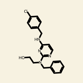 OCCN(Cc1ccccc1)c1nccc(NCc2ccc(Cl)cc2)n1